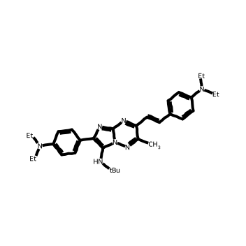 CCN(CC)c1ccc(C=Cc2nc3nc(-c4ccc(N(CC)CC)cc4)c(NC(C)(C)C)n3nc2C)cc1